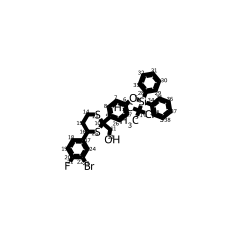 CC(C)(C)[Si](Oc1ccc(C2(CO)SCCC(c3ccc(F)c(Br)c3)S2)cc1)(c1ccccc1)c1ccccc1